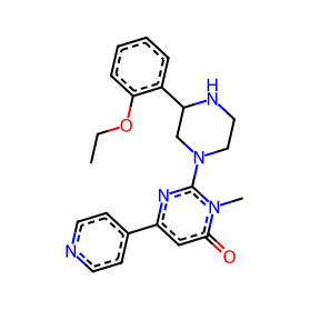 CCOc1ccccc1C1CN(c2nc(-c3ccncc3)cc(=O)n2C)CCN1